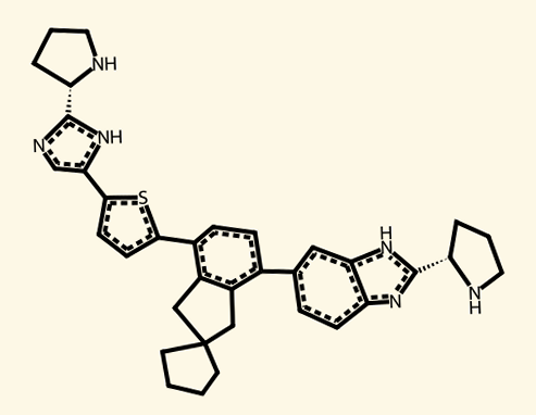 c1cc2nc([C@@H]3CCCN3)[nH]c2cc1-c1ccc(-c2ccc(-c3cnc([C@@H]4CCCN4)[nH]3)s2)c2c1CC1(CCCC1)C2